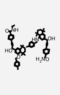 CCNC(=O)c1ccc(C#CC(O)c2cc(OCc3ccc(C)cc3)c3c(c2)C(C)(C)CCC3(C)C)cc1.Cc1ccc(CNc2cc(C(O)C#Cc3ccc(C(N)=O)cc3)cc3c2C(C)(C)CCC3(C)C)cc1